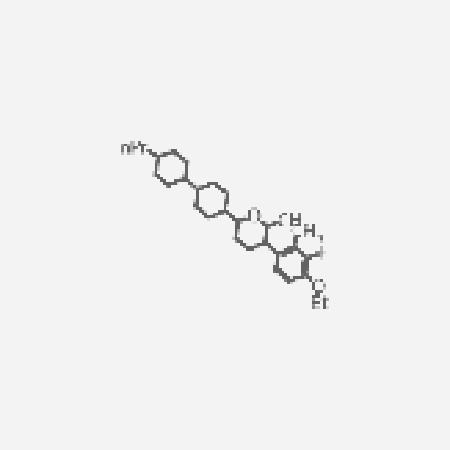 CCCC1CCC(C2CCC(C3CCC(c4ccc(OCC)c(F)c4C)C(C)O3)CC2)CC1